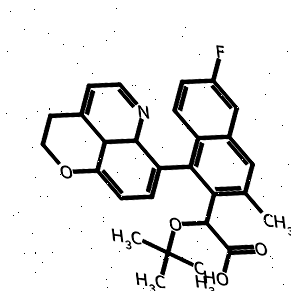 Cc1cc2cc(F)ccc2c(C2=CC=C3OCCC4=CC=NC2C43)c1C(OC(C)(C)C)C(=O)O